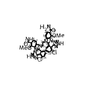 COc1c(C(N)=O)ccc2c1nc(-c1cccc(Cl)c1-c1nn[nH]n1)n2CCn1c(-c2cccc(Cl)c2-c2nn[nH]n2)nc2c(OC)c(C(N)=O)ccc21